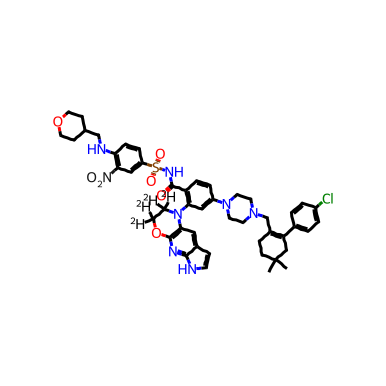 [2H]C1([2H])Oc2nc3[nH]ccc3cc2N(c2cc(N3CCN(CC4=C(c5ccc(Cl)cc5)CC(C)(C)CC4)CC3)ccc2C(=O)NS(=O)(=O)c2ccc(NCC3CCOCC3)c([N+](=O)[O-])c2)C1([2H])[2H]